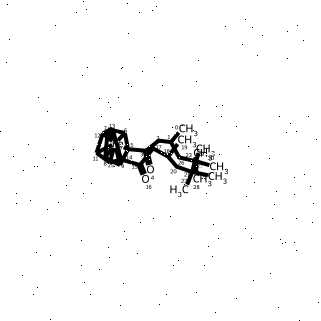 CC(CC(=O)[C]12[CH]3[CH]4[CH]5[CH]1[Fe]45321678[CH]2[CH]1[CH]6[C]7(C(=O)CC(C)CC(C)(C)C)[CH]28)CC(C)(C)C